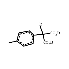 CCOC(=O)C(CC)(C(=O)OCC)c1ccc(C)cc1